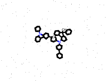 CC1(c2ccccc2)c2ccccc2-c2c(N(c3ccc(-c4ccccc4)cc3)c3ccc(-c4ccc5c(c4)c4ccccc4n5-c4ccccc4)cc3)cccc21